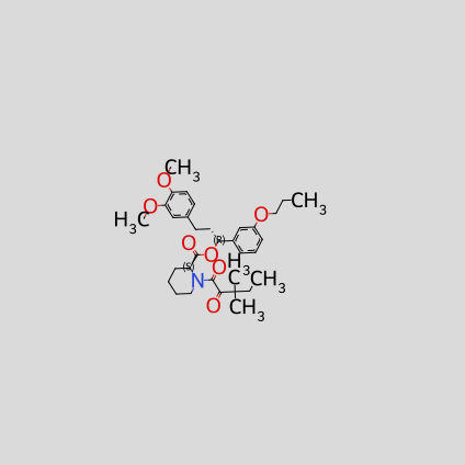 CCCOc1cccc([C@@H](CCc2ccc(OC)c(OC)c2)OC(=O)[C@@H]2CCCCN2C(=O)C(=O)C(C)(C)CC)c1